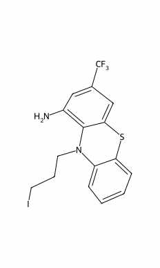 Nc1cc(C(F)(F)F)cc2c1N(CCCI)c1ccccc1S2